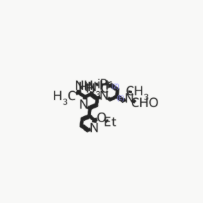 C/C=C\C(=C/N(C)C=O)CNc1cc(-c2cccnc2OCC)nc(C(C)=N)c1NC(C)C